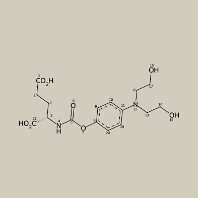 O=C(O)CC[C@H](NC(=O)Oc1ccc(N(CCO)CCO)cc1)C(=O)O